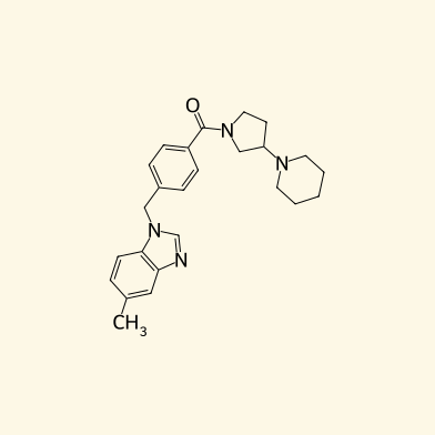 Cc1ccc2c(c1)ncn2Cc1ccc(C(=O)N2CCC(N3CCCCC3)C2)cc1